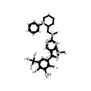 CN(CC1CCCCN1c1ccccc1)c1ncc2c(-c3cc(C(F)(F)F)c(F)c(O)c3F)nn(C)c2n1